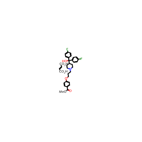 COC(=O)c1ccc(OCCCN2CCC(C(O)(c3ccc(F)cc3)c3ccc(F)cc3)CC2)cc1.O=C(O)/C=C/C(=O)O